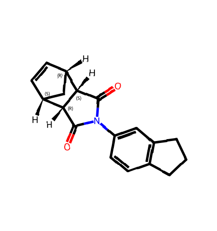 O=C1[C@@H]2[C@H](C(=O)N1c1ccc3c(c1)CCC3)[C@@H]1C=C[C@H]2C1